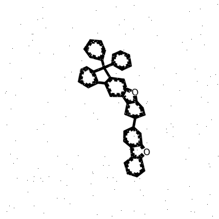 c1ccc(C2(c3ccccc3)c3ccccc3-c3cc4c(cc32)oc2ccc(-c3ccc5c(c3)oc3ccccc35)cc24)cc1